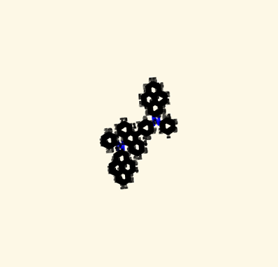 c1ccc(N(c2ccc(-c3c4ccccc4c(N(c4ccccc4)c4cc5ccc6cccc7ccc(c4)c5c67)c4ccccc34)cc2)c2cc3ccc4cccc5ccc(c2)c3c45)cc1